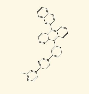 Cc1cc(-c2ccc(C3=CCCC(C4=c5ccccc5=C(c5ccc6ccccc6c5)C5C=CC=CC45)=C3)cn2)ccn1